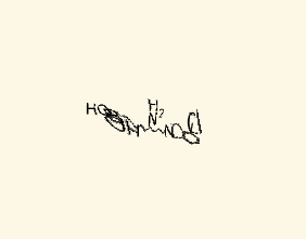 NC(CCCCB(O)O)CCCN1CCc2c(Cl)cccc2C1